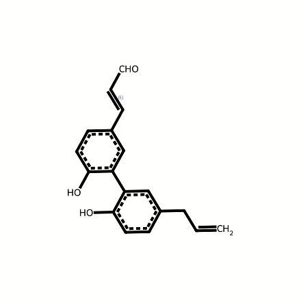 C=CCc1ccc(O)c(-c2cc(/C=C/C=O)ccc2O)c1